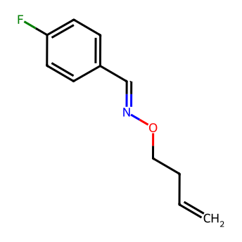 C=CCCON=[C]c1ccc(F)cc1